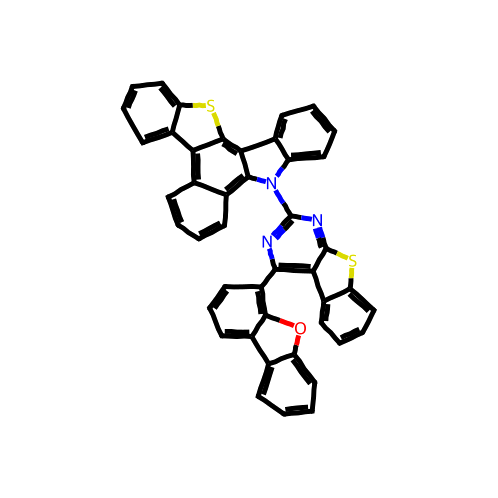 c1ccc2c(c1)oc1c(-c3nc(-n4c5ccccc5c5c6sc7ccccc7c6c6ccccc6c54)nc4sc5ccccc5c34)cccc12